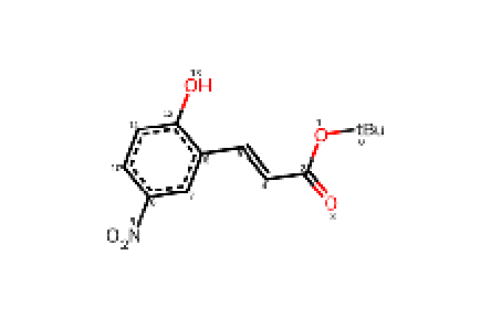 CC(C)(C)OC(=O)C=Cc1cc([N+](=O)[O-])ccc1O